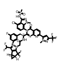 Cn1nc(C(F)(F)F)cc1-c1ccc2c(=O)n(-c3ccc(Cl)c4c(NS(C)(=O)=O)nn(C)c34)c([C@H](Cc3cc(F)cc(F)c3)NC(=O)Cn3nc(C(F)F)c4c3C(F)(F)[C@@H]3C[C@H]43)nc2n1